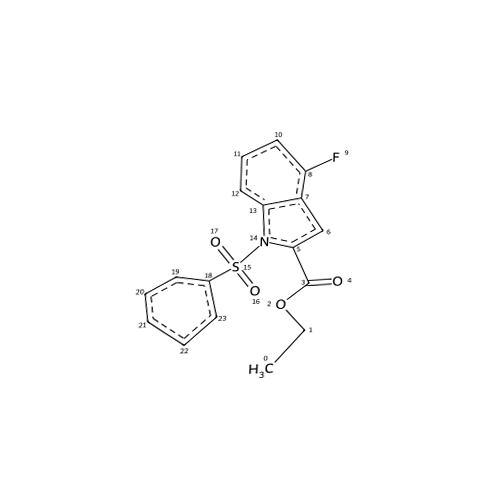 CCOC(=O)c1cc2c(F)cccc2n1S(=O)(=O)c1ccccc1